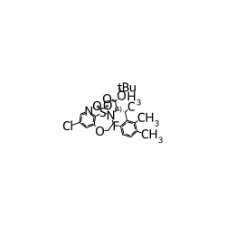 Cc1ccc(F)c(C(C)[C@@H](C(=O)OC(C)(C)C)N2CCOc3cc(Cl)cnc3S2(=O)=O)c1C